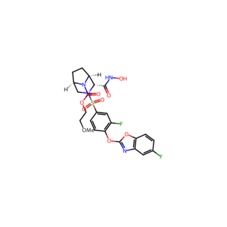 COCCOC(=O)N1[C@@H]2CC[C@H]1[C@H](C(=O)NO)N(S(=O)(=O)c1ccc(Oc3nc4cc(F)ccc4o3)c(F)c1)C2